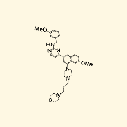 COc1cccc(CNc2nccc(-c3cc(N4CCN(CCCN5CCOCC5)CC4)c4cc(OC)ccc4c3)n2)c1